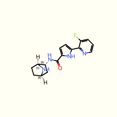 O=C(N[C@@H]1C[C@H]2CC[C@@H]1N2)c1ccc(-c2ncccc2F)[nH]1